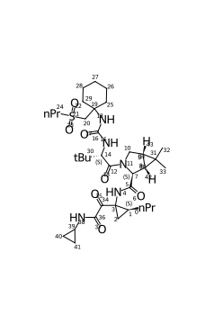 CCC[C@H]1CC1(NC(=O)[C@@H]1[C@@H]2[C@H](CN1C(=O)[C@@H](NC(=O)NC1(CS(=O)(=O)CCC)CCCCC1)C(C)(C)C)C2(C)C)C(=O)C(=O)NC1CC1